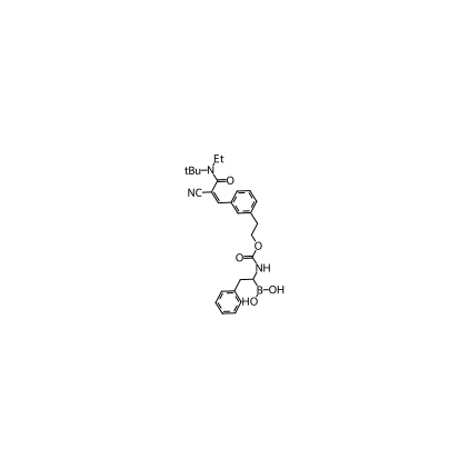 CCN(C(=O)C(C#N)=Cc1cccc(CCOC(=O)NC(Cc2ccccc2)B(O)O)c1)C(C)(C)C